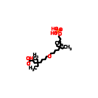 CCC(CC)(CCCCOCCCCC(CC)(CC)CCC(=O)O)CCCCOP(=O)(O)O